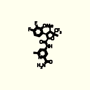 COc1c([C@H]2[C@@H](C)[C@](C)(C(F)(F)F)O[C@H]2C(=O)Nc2cc(C)nc(C(N)=O)c2)ccc(F)c1F